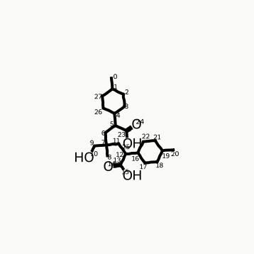 CC1CCC(C(CC(C)(CO)CC(C(=O)O)C2CCC(C)CC2)C(=O)O)CC1